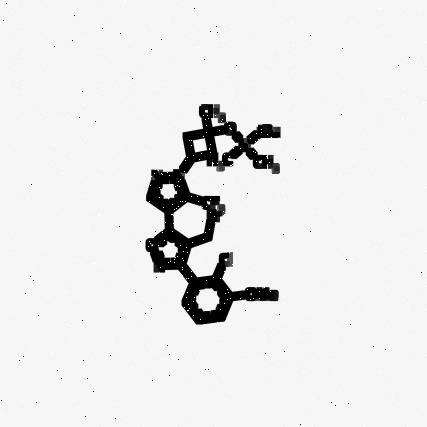 COc1cccc(-c2noc(-c3cnn(C4CC(C)(O[Si](C)(C)C(C)(C)C)C4)c3C(F)(F)F)c2CBr)c1Cl